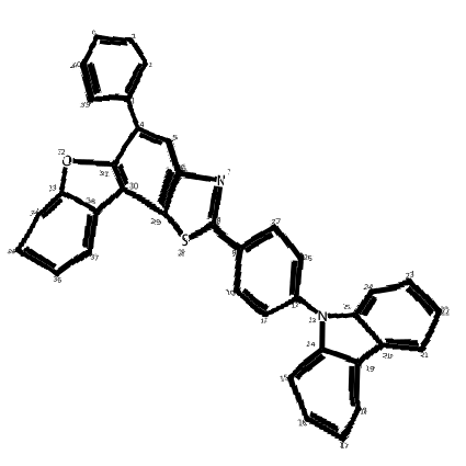 c1ccc(-c2cc3nc(-c4ccc(-n5c6ccccc6c6ccccc65)cc4)sc3c3c2oc2ccccc23)cc1